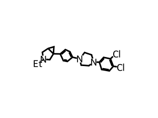 CCN1CC2CC2(c2ccc(N3CCN(c4ccc(Cl)c(Cl)c4)CC3)cc2)C1